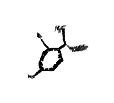 CO[C@@H](C)c1ccc(O)cc1Br